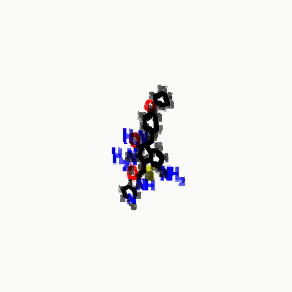 CN1CCCC(NC(=O)c2sc3c(N)ccc4c3c2C(N)C(=O)C4(N)Cc2ccc(Oc3ccccc3)cc2)C1